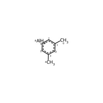 Cc1[c]c(C)ccc1.[AlH3]